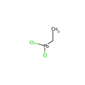 C[CH2][Pb]([Cl])[Cl]